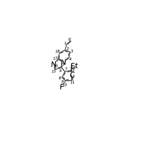 C=Cc1ccn2c(-c3cc(F)ccc3CC)cnc2c1